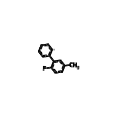 Cc1ccc(F)c(-c2[c]cccc2)c1